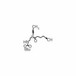 C#CCCCC(=O)N(C#CC)CCNC(=O)OC(C)(C)C